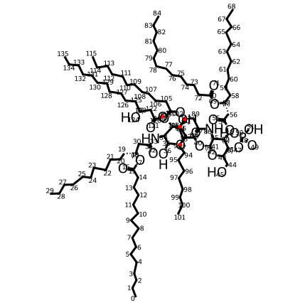 CCCCCCCCCCCCCCCC(=O)O[C@H](CCCCCCCCCCC)CC(=O)NC1C(O)OC(CO[C@@H]2OC(CO)[C@@H](OP(=O)(O)O)[C@H](OC(=O)C[C@@H](CCCCCCCCCCC)OC(=O)CCCCCCCCCCCCC)C2NC(=O)C[C@@H](CCCCCCCCCCC)OC(=O)CCCCCCCCCCC)[C@@H](O)[C@@H]1OC(=O)C[C@H](O)CCCCCCCCCCC